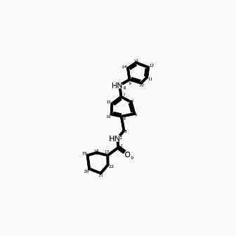 O=C(NCc1ccc(Nc2ccccc2)cc1)C1CCCCC1